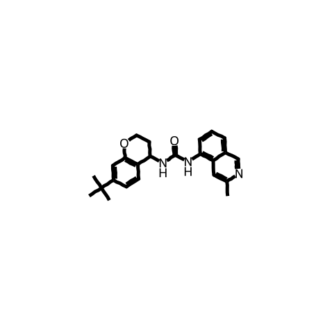 Cc1cc2c(NC(=O)NC3CCOc4cc(C(C)(C)C)ccc43)cccc2cn1